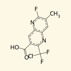 Cc1cc2nc(C(F)(F)Cl)c(C(=O)O)cc2nc1F